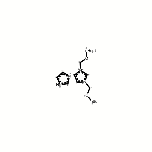 CCCCCCCOC[n+]1ccn(COCCCC)c1.c1c[nH]cn1